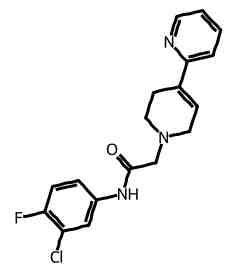 O=C(CN1CC=C(c2ccccn2)CC1)Nc1ccc(F)c(Cl)c1